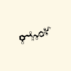 CC(C)CS(=O)(=O)N1CCN(C(=O)CNC(=O)/C=C/c2cccc(Cl)c2)CC1